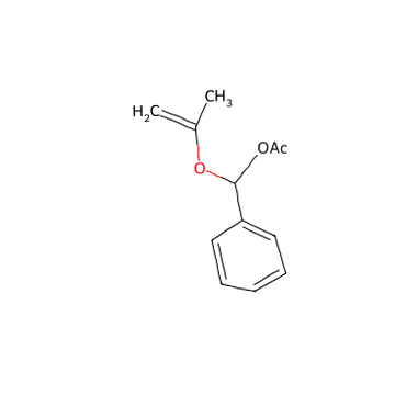 C=C(C)OC(OC(C)=O)c1ccccc1